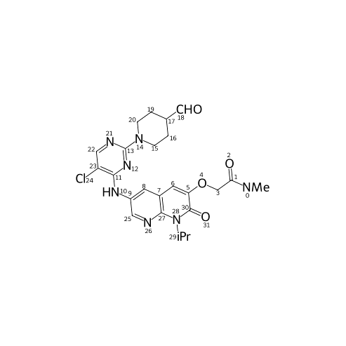 CNC(=O)COc1cc2cc(Nc3nc(N4CCC(C=O)CC4)ncc3Cl)cnc2n(C(C)C)c1=O